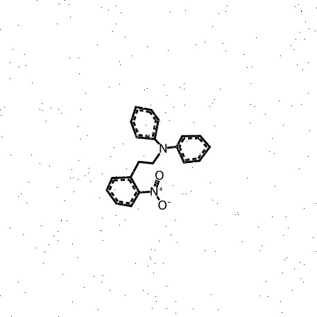 O=[N+]([O-])c1ccccc1CCN(c1ccccc1)c1ccccc1